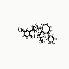 O=C(O)C[C@@H]1C(=O)N(c2nc(-c3cc(Cl)ccc3Cl)cs2)CCCC[C@@H]1C1=CCCC=C1